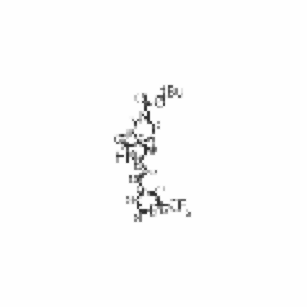 CC(C)(C)OC(=O)N1CCC2(CC1)N=C(/C=C/c1cccc(C(F)(F)F)c1)NC2=O